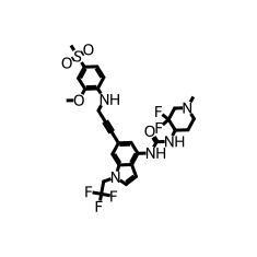 COc1cc(S(C)(=O)=O)ccc1NCC#Cc1cc(NC(=O)NC2CCN(C)CC2(F)F)c2ccn(CC(F)(F)F)c2c1